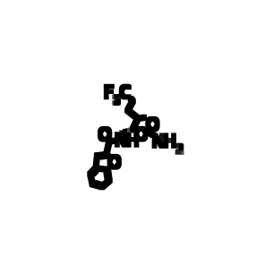 CC(CCC(F)(F)F)[C@@H](CNC(=O)c1cc2ccccc2o1)OC(N)=O